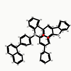 c1ccc(-c2cccc(N(c3ccc(-c4cccc5ccccc45)cc3)c3ccccc3-c3ccc4sc5ccccc5c4c3)c2)cc1